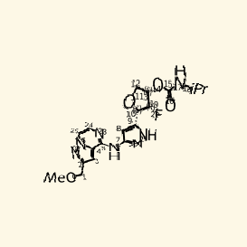 COCc1cc2c(Nc3cc([C@@H]4OC[C@H](OC(=O)NC(C)C)[C@@H]4F)[nH]n3)nccn2n1